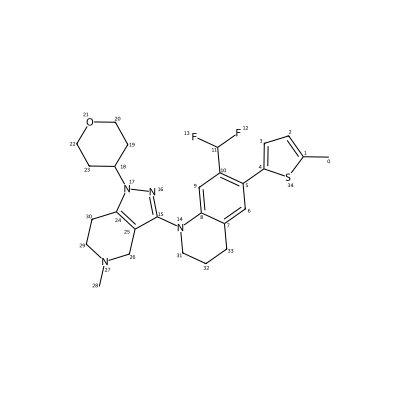 Cc1ccc(-c2cc3c(cc2C(F)F)N(c2nn(C4CCOCC4)c4c2CN(C)CC4)CCC3)s1